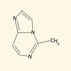 Cc1nccc2n[c]cn12